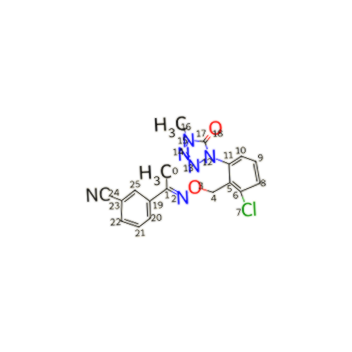 CC(=NOCc1c(Cl)cccc1-n1nnn(C)c1=O)c1cccc(C#N)c1